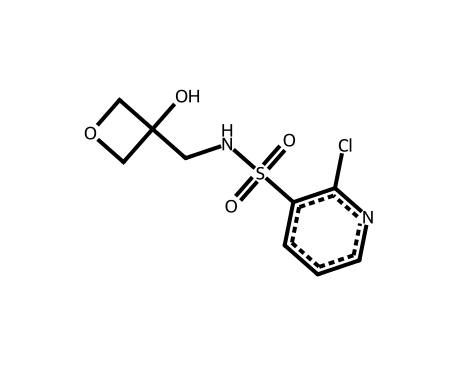 O=S(=O)(NCC1(O)COC1)c1cccnc1Cl